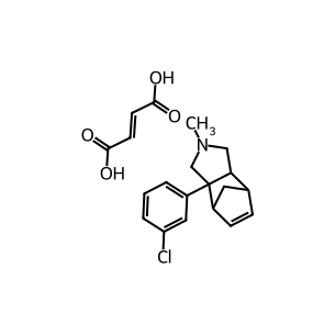 CN1CC2C3C=CC(C3)C2(c2cccc(Cl)c2)C1.O=C(O)C=CC(=O)O